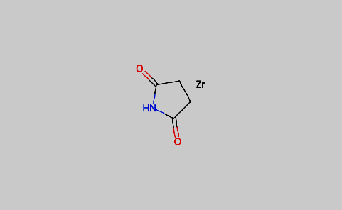 O=C1CCC(=O)N1.[Zr]